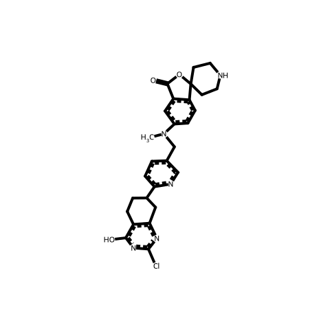 CN(Cc1ccc(C2CCc3c(O)nc(Cl)nc3C2)nc1)c1ccc2c(c1)C(=O)OC21CCNCC1